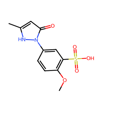 COc1ccc(-n2[nH]c(C)cc2=O)cc1S(=O)(=O)O